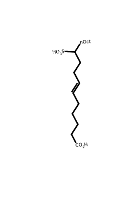 CCCCCCCCC(CC/C=C/CCCCC(=O)O)S(=O)(=O)O